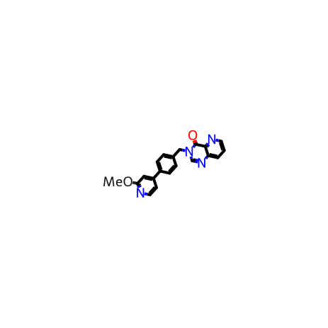 COc1cc(-c2ccc(Cn3cnc4cccnc4c3=O)cc2)ccn1